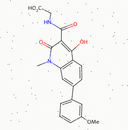 COc1cccc(-c2ccc3c(O)c(C(=O)NCC(=O)O)c(=O)n(C)c3c2)c1